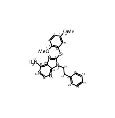 COc1ccc(OC)c(Sc2nc3c(N)ncnc3n2CCc2ccccc2)c1